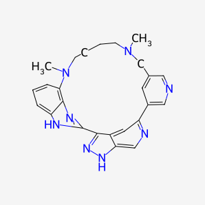 CN1CCCCN(C)c2cccc3[nH]c(nc23)-c2n[nH]c3cnc(cc23)-c2cncc(c2)C1